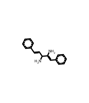 NC(=Cc1ccccc1)C(N)C=Cc1ccccc1